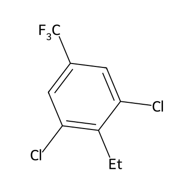 CCc1c(Cl)cc(C(F)(F)F)cc1Cl